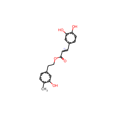 Cc1ccc(CCOC(=O)/C=C/c2ccc(O)c(O)c2)cc1O